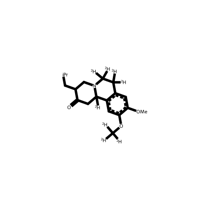 [2H]C([2H])([2H])Oc1cc2c(cc1OC)C([2H])([2H])C([2H])([2H])N1CC(CC(C)C)C(=O)CC21[2H]